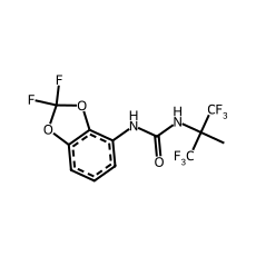 CC(NC(=O)Nc1cccc2c1OC(F)(F)O2)(C(F)(F)F)C(F)(F)F